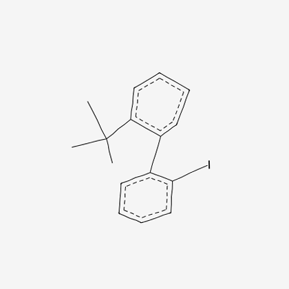 CC(C)(C)c1ccccc1-c1ccccc1I